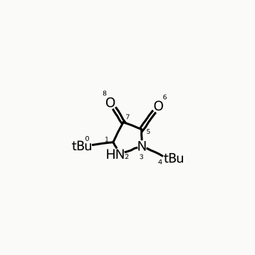 CC(C)(C)C1NN(C(C)(C)C)C(=O)C1=O